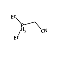 CC[PH2](CC)CC#N